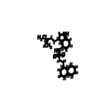 CN(C)CCc1c[nH]c2cccc(NS(=O)(=O)CCc3cccc4ccccc34)c12